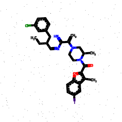 C=C(C(=N)/N=C\C(CC)Cc1cccc(Cl)c1)N1CCN(C(=O)c2oc3ccc(I)cc3c2C)C(C)C1